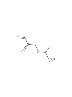 C=CC(=O)CCC(C)S(=O)(=O)O